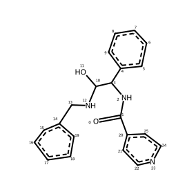 O=C(NC(c1ccccc1)C(O)NCc1ccccc1)c1ccncc1